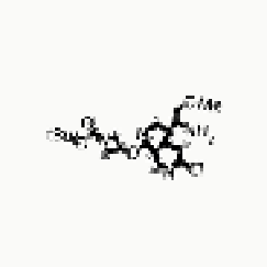 COCC(N)c1cnc(OC2CN(C(=O)OC(C)(C)C)C2)c2cnc(Cl)cc12